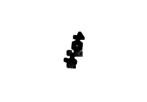 Cc1oncc1C(=O)Nc1ccc(C2(C)CC2)cc1